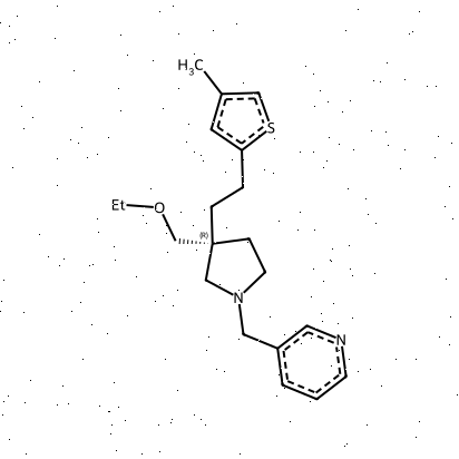 CCOC[C@]1(CCc2cc(C)cs2)CCN(Cc2cccnc2)C1